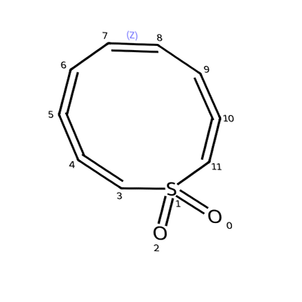 O=S1(=O)C=C=C=C/C=C\C=C=C1